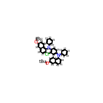 CC(C)(C)Oc1ccc2c(N(c3ccccc3)c3ccc(N(c4ccccc4)c4cccc5cc(OC(C)(C)C)ccc45)c(Cl)c3)cccc2c1